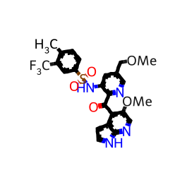 COCc1cnc(C(=O)c2c(OC)cnc3[nH]ccc23)c(NS(=O)(=O)c2ccc(C)c(C(F)(F)F)c2)c1